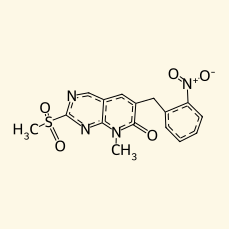 Cn1c(=O)c(Cc2ccccc2[N+](=O)[O-])cc2cnc(S(C)(=O)=O)nc21